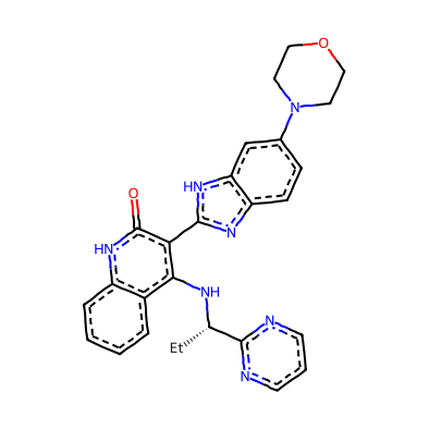 CC[C@H](Nc1c(-c2nc3ccc(N4CCOCC4)cc3[nH]2)c(=O)[nH]c2ccccc12)c1ncccn1